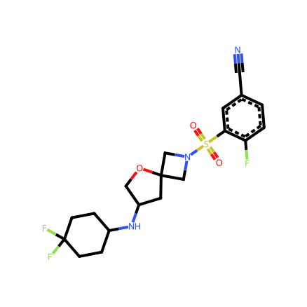 N#Cc1ccc(F)c(S(=O)(=O)N2CC3(CC(NC4CCC(F)(F)CC4)CO3)C2)c1